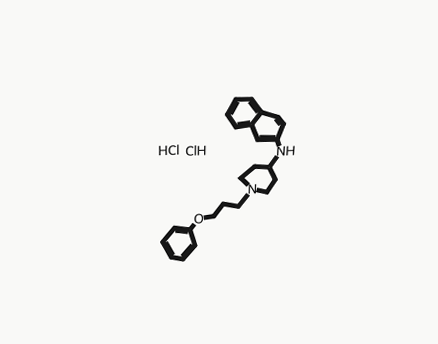 Cl.Cl.c1ccc(OCCCN2CCC(Nc3ccc4ccccc4c3)CC2)cc1